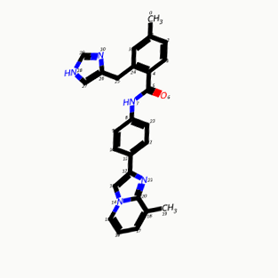 Cc1ccc(C(=O)Nc2ccc(-c3cn4cccc(C)c4n3)cc2)c(Cc2c[nH]cn2)c1